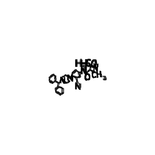 Cc1noc(C)c1C(=O)Nc1ccc(N2CCN(C(c3ccccc3)c3ccccc3)CC2)c(C#N)c1